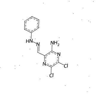 Nc1nc(Cl)c(Cl)nc1C=NNc1ccccc1